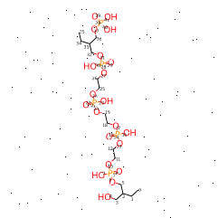 CCC(CO)COP(=O)(O)OCCOP(=O)(O)OCCOP(=O)(O)OCCOP(=O)(O)OCC(CC)COP(=O)(O)O